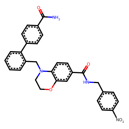 NC(=O)c1ccc(-c2ccccc2CN2CCOc3cc(C(=O)NCc4ccc([N+](=O)[O-])cc4)ccc32)cc1